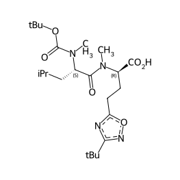 CC(C)C[C@@H](C(=O)N(C)[C@H](CCc1nc(C(C)(C)C)no1)C(=O)O)N(C)C(=O)OC(C)(C)C